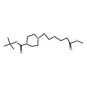 COC(=O)CCCCCN1CCN(C(=O)OC(C)(C)C)CC1